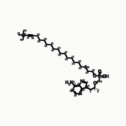 C[C@H](Cn1cnc2c(N)ncnc21)OCP(=O)(O)OCCSCCCCCCCCCCCCCCC#C[Si](C)(C)C